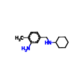 Cc1ccc(CNC2CCCCC2)cc1N